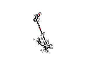 CC(C)N(CC1OC(n2cnc3c(NCCCCNC(=O)CCCCCCCCCCCNc4cccc5c4C(=O)N(C4CCC(=O)NC4=O)C5=O)ncnc32)C(O)C1O)C1CC(CCc2nc3cc(C(C)(C)C)ccc3[nH]2)C1